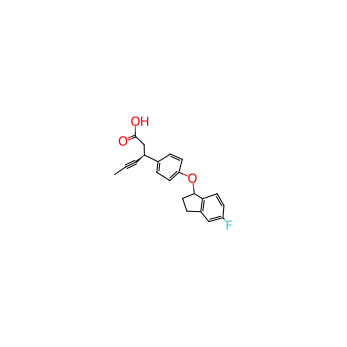 CC#C[C@@H](CC(=O)O)c1ccc(OC2CCc3cc(F)ccc32)cc1